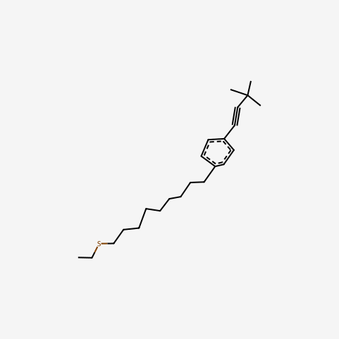 CCSCCCCCCCCCc1ccc(C#CC(C)(C)C)cc1